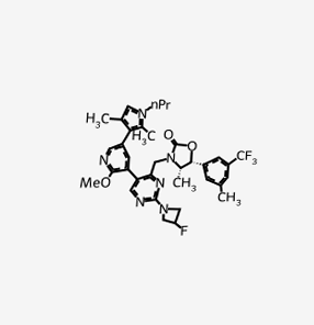 CCCn1cc(C)c(-c2cnc(OC)c(-c3cnc(N4CC(F)C4)nc3CN3C(=O)O[C@H](c4cc(C)cc(C(F)(F)F)c4)[C@@H]3C)c2)c1C